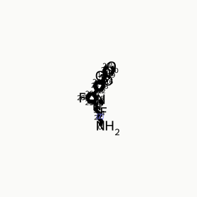 NC/C=C(\F)Cn1cnc2c(-c3ccc(S(=O)(=O)N4CCOCC4)cc3)cc(F)cc21